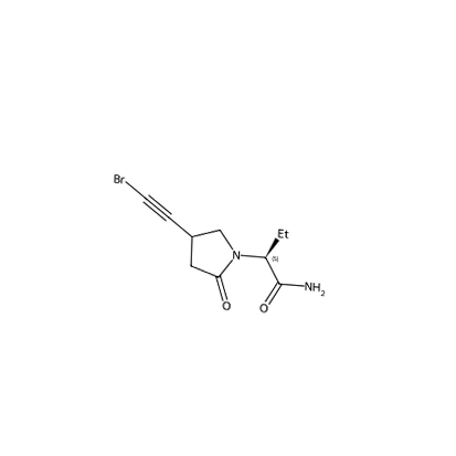 CC[C@@H](C(N)=O)N1CC(C#CBr)CC1=O